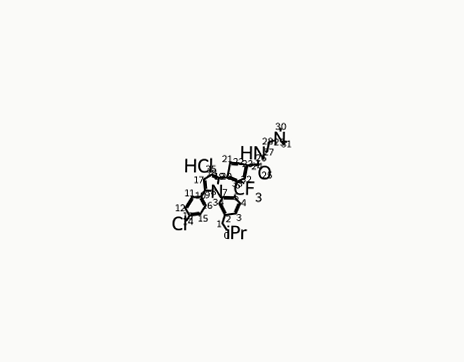 CC(C)Cc1ccc(C(F)(F)F)c(-n2c(-c3ccc(Cl)cc3)ccc2-c2ccc(C(=O)NCCN(C)C)cc2)c1.Cl